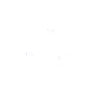 Nc1cc(N)cc(B(O)O)c1